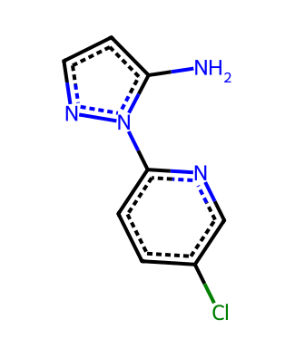 Nc1ccnn1-c1ccc(Cl)cn1